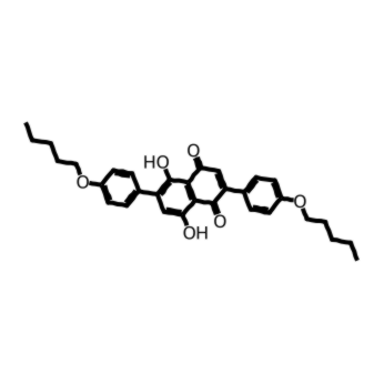 CCCCCOc1ccc(C2=CC(=O)c3c(O)c(-c4ccc(OCCCCC)cc4)cc(O)c3C2=O)cc1